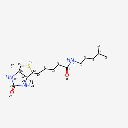 CC(C)CCCNC(=O)CCCCC1SC[C@]2(C)NC(=O)N[C@H]12